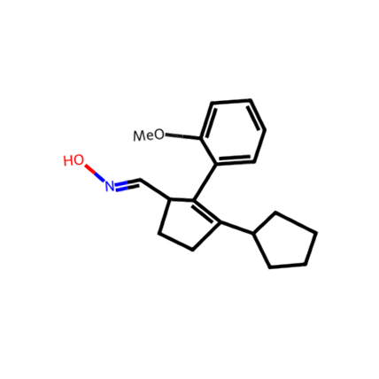 COc1ccccc1C1=C(C2CCCC2)CCC1C=NO